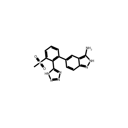 CS(=O)(=O)c1cccc(-c2ccc3n[nH]c(N)c3c2)c1-c1nnn[nH]1